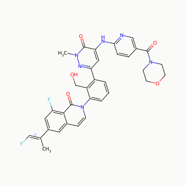 C/C(=C\F)c1cc(F)c2c(=O)n(-c3cccc(-c4cc(Nc5ccc(C(=O)N6CCOCC6)cn5)c(=O)n(C)n4)c3CO)ccc2c1